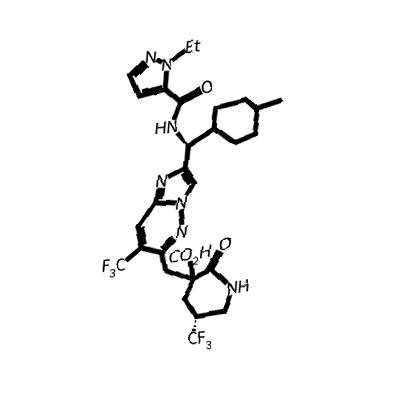 CCn1nccc1C(=O)N[C@H](c1cn2nc(CC3(C(=O)O)C[C@@H](C(F)(F)F)CNC3=O)c(C(F)(F)F)cc2n1)C1CCC(C)CC1